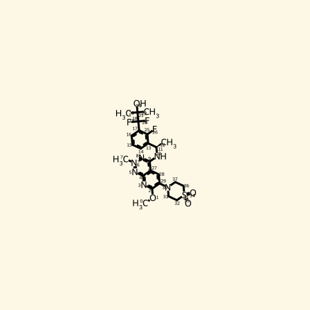 COc1nc2n[n+](C)nc(N[C@H](C)c3cccc(C(F)(F)C(C)(C)O)c3F)c2cc1N1CCS(=O)(=O)CC1